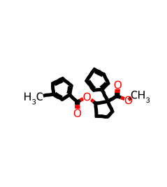 COC(=O)C1(c2ccccc2)CCCC1OC(=O)c1cccc(C)c1